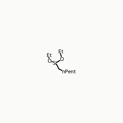 CCCCCC[Si](OCC)OCC